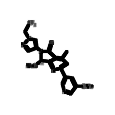 COc1cncc(-c2cc(C)c3c(n2)[C@@H](OC)N(c2cnn(CC(F)(F)F)c2)C3=O)c1